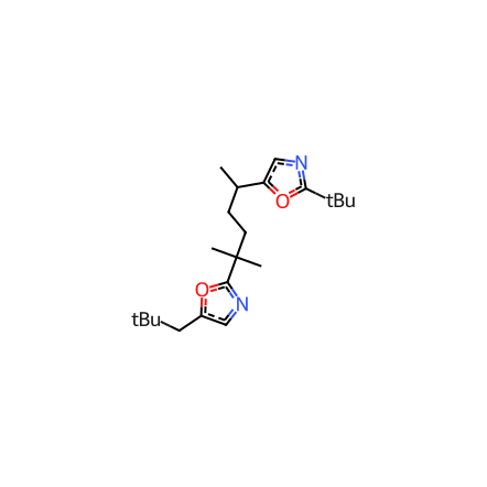 CC(CCC(C)(C)c1ncc(CC(C)(C)C)o1)c1cnc(C(C)(C)C)o1